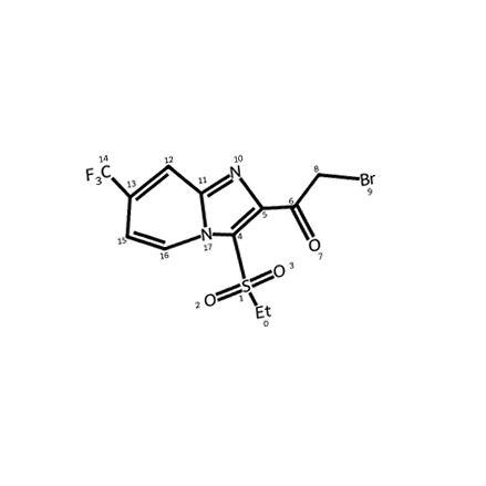 CCS(=O)(=O)c1c(C(=O)CBr)nc2cc(C(F)(F)F)ccn12